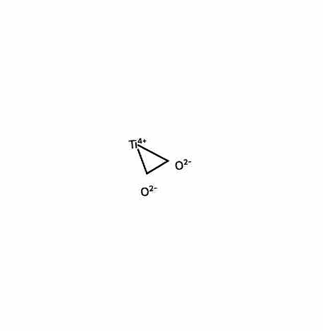 [CH2]1[CH2][Ti+4]1.[O-2].[O-2]